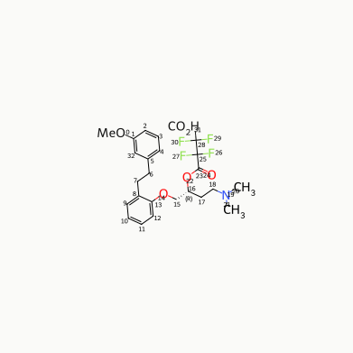 COc1cccc(CCc2ccccc2OC[C@@H](CCN(C)C)OC(=O)C(F)(F)C(F)(F)C(=O)O)c1